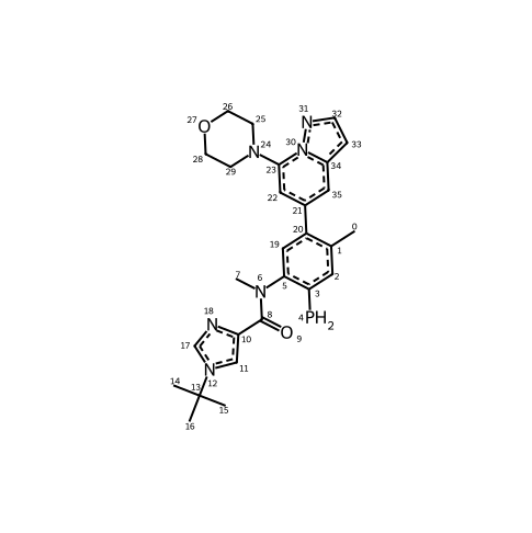 Cc1cc(P)c(N(C)C(=O)c2cn(C(C)(C)C)cn2)cc1-c1cc(N2CCOCC2)n2nccc2c1